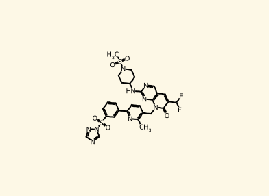 Cc1nc(-c2cccc(S(=O)(=O)n3cncn3)c2)ccc1Cn1c(=O)c(C(F)F)cc2cnc(NC3CCN(S(C)(=O)=O)CC3)nc21